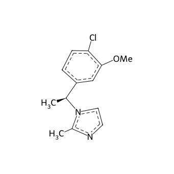 COc1cc([C@H](C)n2ccnc2C)ccc1Cl